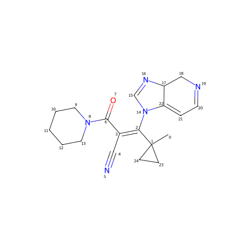 CC1(C(=C(C#N)C(=O)N2CCCCC2)N2C=NC3CN=CC=C32)CC1